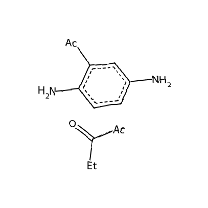 CC(=O)c1cc(N)ccc1N.CCC(=O)C(C)=O